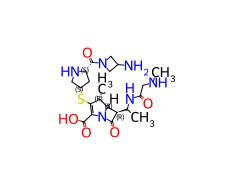 CNCC(=O)NC(C)[C@H]1C(=O)N2C(C(=O)O)=C(S[C@@H]3CN[C@H](C(=O)N4CC(N)C4)C3)[C@H](C)[C@H]12